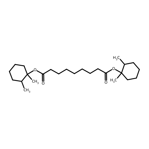 CC1CCCCC1(C)OC(=O)CCCCCCCC(=O)OC1(C)CCCCC1C